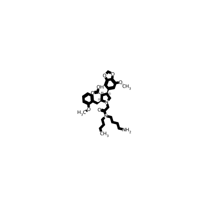 CCCCN(CCCCN)C(=O)CN1C[C@H](c2cc(OC)c3c(c2)OCO3)[C@@H](C(=O)O)[C@@H]1Cc1ccccc1OC